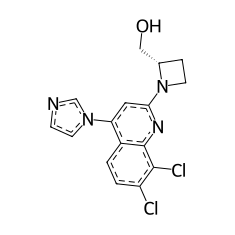 OC[C@@H]1CCN1c1cc(-n2ccnc2)c2ccc(Cl)c(Cl)c2n1